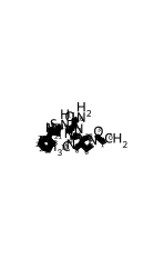 C=CC(=O)N1CCC(CN(C)c2cnc(C(N)=O)c(Nc3cc(-c4ccccc4)ns3)n2)CC1